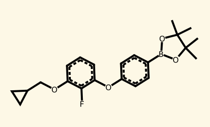 CC1(C)OB(c2ccc(Oc3cccc(OCC4CC4)c3F)cc2)OC1(C)C